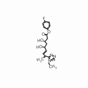 C=C(C=CC(O)CC(O)CC(=O)Oc1ccc(F)cc1)c1nnnn1CC